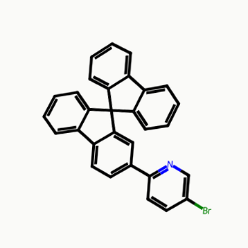 Brc1ccc(-c2ccc3c(c2)C2(c4ccccc4-c4ccccc42)c2ccccc2-3)nc1